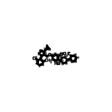 Cc1cccc(Cl)c1-c1noc(C2CC2)c1COc1ccc(C2(O)CCN(c3ncccc3C(=O)O)CC2)c(Cl)c1